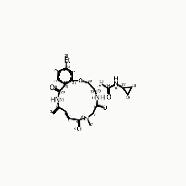 C=C1/C=C/C(=O)N(C)CC(=O)N[C@@H](CC(=O)NC2CC2)COc2cc(CC)ccc2C(=O)N1